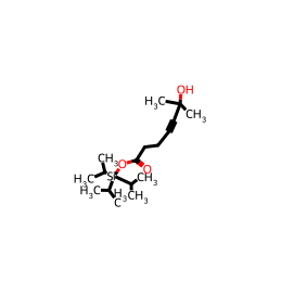 CC(C)[Si](OC(=O)CCC#CC(C)(C)O)(C(C)C)C(C)C